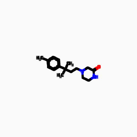 Cc1ccc(C(C)(C)CCN2CCNC(=O)C2)cc1